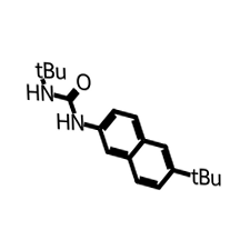 CC(C)(C)NC(=O)Nc1ccc2cc(C(C)(C)C)ccc2c1